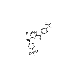 CS(=O)(=O)c1ccc(Nc2ncc(F)c(Nc3ccc(S(C)(=O)=O)cc3)n2)cc1